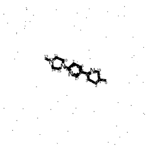 CC1CCC(c2ccc(N3CCN(C)CC3)nc2)=NC1